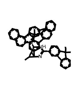 CC1C2C(n3c4cc(-c5ccccc5)ccc4c4c5ccccc5ccc43)NC(c3ccc4c(c3)-c3ccccc3C4(C)C)=NC12c1ccc2c(c1)-c1ccccc1C2(C)C